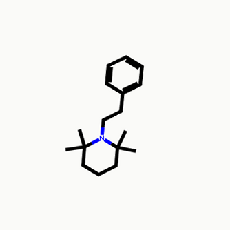 CC1(C)CCCC(C)(C)N1CCc1ccccc1